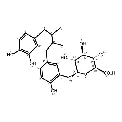 CC(Cc1ccc(O)c(O)c1)C(C)Cc1ccc(O)c(O[C@@H]2O[C@H](C(=O)O)[C@@H](O)[C@H](O)[C@H]2O)c1